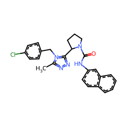 Cc1nnc(C2CCCN2C(=O)Nc2ccc3ccccc3c2)n1Cc1ccc(Cl)cc1